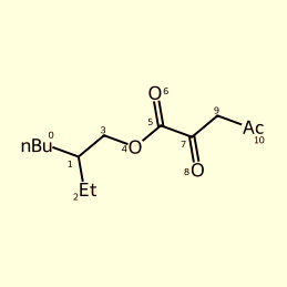 CCCCC(CC)COC(=O)C(=O)CC(C)=O